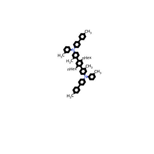 CCCCCCc1cc(-c2ccc(N(c3ccc(-c4ccc(C)cc4)cc3)c3cccc(C)c3)cc2C)c(CCCCCC)cc1-c1ccc(N(c2ccc(-c3ccc(C)cc3)cc2)c2cccc(C)c2)cc1C